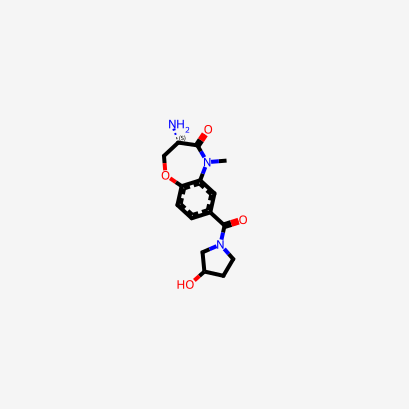 CN1C(=O)[C@@H](N)COc2ccc(C(=O)N3CCC(O)C3)cc21